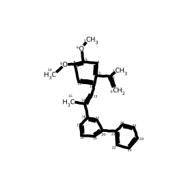 C=C(C)c1cc(OC)c(OC)cc1/C=C(\C)c1cccc(-c2ccccc2)c1